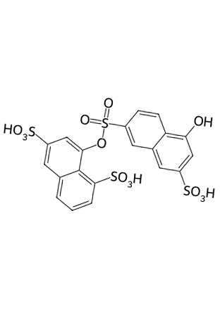 O=S(=O)(O)c1cc(O)c2ccc(S(=O)(=O)Oc3cc(S(=O)(=O)O)cc4cccc(S(=O)(=O)O)c34)cc2c1